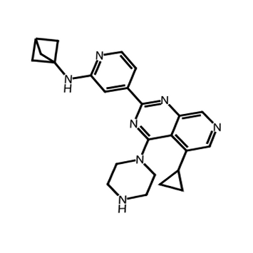 c1cc(-c2nc(N3CCNCC3)c3c(C4CC4)cncc3n2)cc(NC23CC(C2)C3)n1